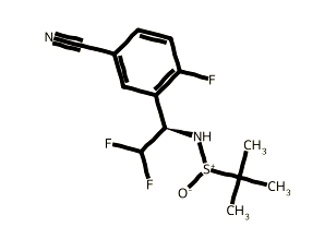 CC(C)(C)[S+]([O-])N[C@H](c1cc(C#N)ccc1F)C(F)F